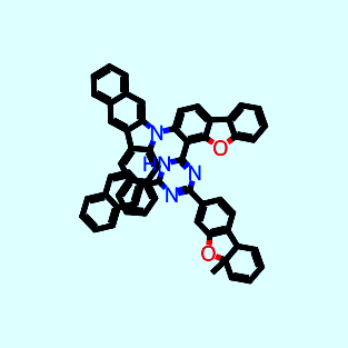 CC12C=CC=CC1c1ccc(C3=NC(c4ccc5ccccc5c4)NC(c4c(-n5c6cc7ccccc7cc6c6cc7ccccc7cc65)ccc5c4oc4ccccc45)=N3)cc1O2